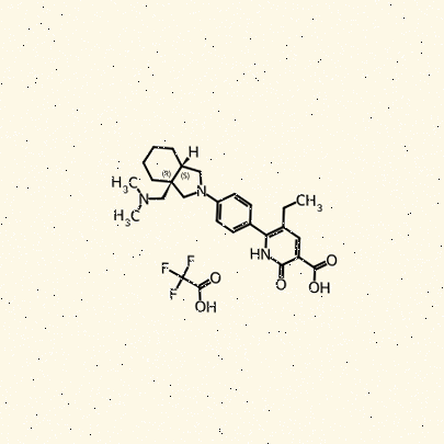 CCc1cc(C(=O)O)c(=O)[nH]c1-c1ccc(N2C[C@H]3CCCC[C@@]3(CN(C)C)C2)cc1.O=C(O)C(F)(F)F